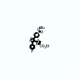 CCOC(=O)c1csc(-c2c(-c3ccc(F)cc3)noc2C2CCN(C(=O)OC(C)(C)C)CC2)n1